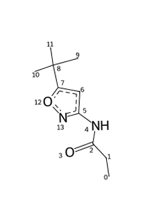 CCC(=O)Nc1cc(C(C)(C)C)on1